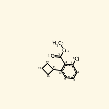 COC(=O)c1c(Cl)cccc1C1CCC1